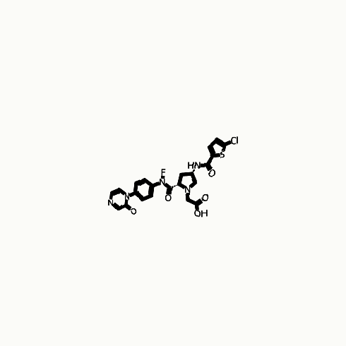 O=C(O)CN1C[C@@H](NC(=O)c2ccc(Cl)s2)C[C@H]1C(=O)N(F)c1ccc(-n2ccncc2=O)cc1